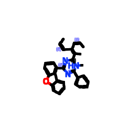 C/C=C\C(/C=C\C)=C(C)[C@@H](C)/N=C(\N=C(/NC)c1ccccc1)c1cccc2oc3ccccc3c12